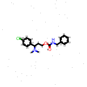 CN(C)C(CCOC(=O)NCc1ccccc1)c1ccc(Cl)cc1